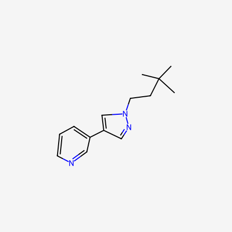 CC(C)(C)CCn1cc(-c2cccnc2)cn1